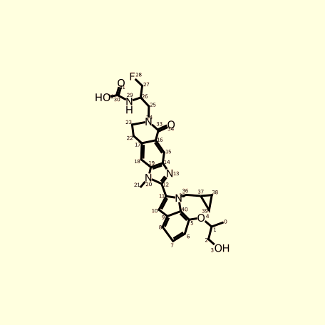 CC(CO)Oc1cccc2cc(-c3nc4cc5c(cc4n3C)CCN(CC(CF)NC(=O)O)C5=O)n(CC3CC3)c12